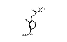 COC(=O)CCc1ccc(OC)cc1F